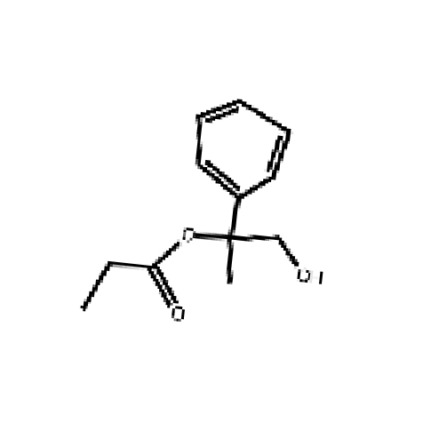 CCC(=O)OC(C)(CO)c1ccccc1